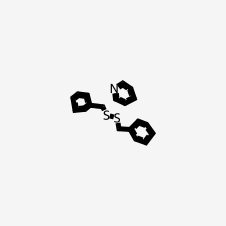 c1ccc(CSSCc2ccccc2)cc1.c1ccncc1